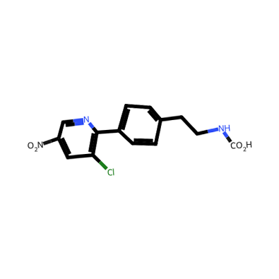 O=C(O)NCCc1ccc(-c2ncc([N+](=O)[O-])cc2Cl)cc1